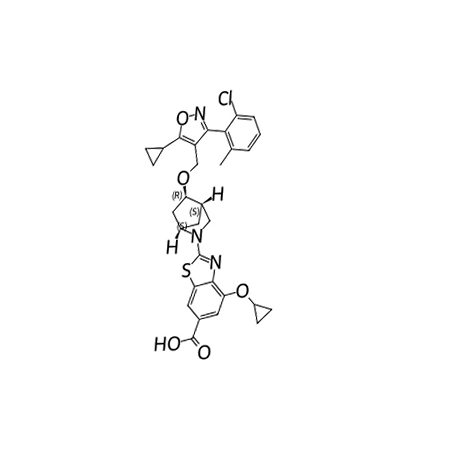 Cc1cccc(Cl)c1-c1noc(C2CC2)c1CO[C@@H]1C[C@@H]2C[C@H]1CN2c1nc2c(OC3CC3)cc(C(=O)O)cc2s1